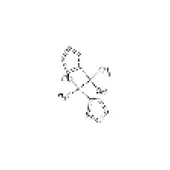 CC(O)(c1cccs1)C(C)(O)c1cccs1